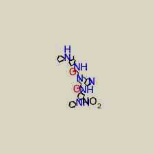 Cc1cc(NC(=O)CCN(CCC(=O)Nc2ccc(Nc3ccccc3)c([N+](=O)[O-])c2)Cc2cccnc2)ccc1Nc1ccccc1